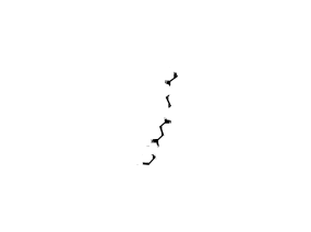 C=CC(=O)OCCOC(=O)CCC(=O)OC(C)(C)CBr